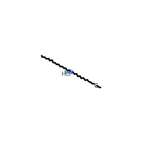 CCCCCCCCCCCCCCCCCNCCCCCCCCCCCCCCCCC.Cl